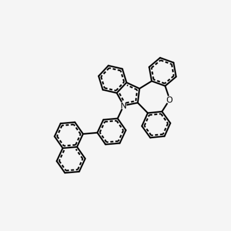 c1cc(-c2cccc3ccccc23)cc(-n2c3c(c4ccccc42)-c2ccccc2Oc2ccccc2-3)c1